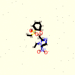 CCn1c([N+](=O)[O-])cnc1COc1ccccc1S(=O)(=O)CC